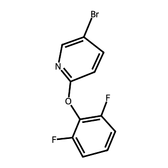 Fc1cccc(F)c1Oc1ccc(Br)cn1